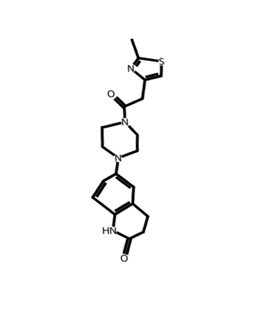 Cc1nc(CC(=O)N2CCN(c3ccc4c(c3)CCC(=O)N4)CC2)cs1